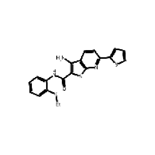 CCSc1ccccc1NC(=O)c1sc2nc(-c3cccs3)ccc2c1N